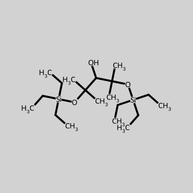 CC[Si](CC)(CC)OC(C)(C)C(O)C(C)(C)O[Si](CC)(CC)CC